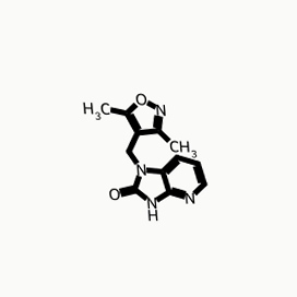 Cc1noc(C)c1Cn1c(=O)[nH]c2ncccc21